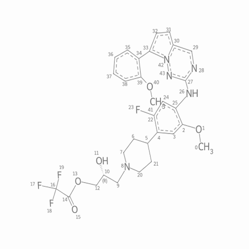 COc1cc(C2CCN(C[C@@H](O)COC(=O)C(F)(F)F)CC2)c(F)cc1Nc1ncc2ccc(-c3ccccc3OC)n2n1